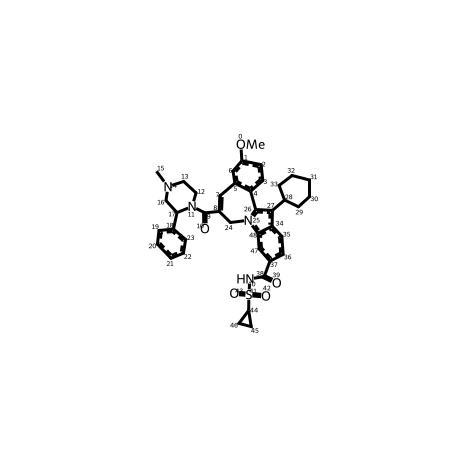 COc1ccc2c(c1)C=C(C(=O)N1CCN(C)CC1c1ccccc1)Cn1c-2c(C2CCCCC2)c2ccc(C(=O)NS(=O)(=O)C3CC3)cc21